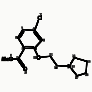 COC(=O)c1ccc(Cl)cc1OCCN1CCCC1